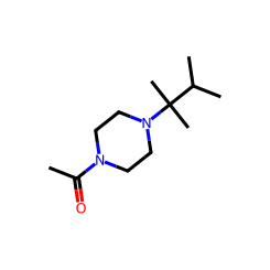 CC(=O)N1CCN(C(C)(C)C(C)C)CC1